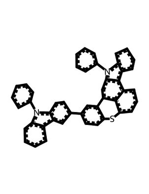 c1ccc(-n2c3ccccc3c3cc(-c4ccc5c(c4)-c4cc6c(c7cccc(c47)S5)c4ccccc4n6-c4ccccc4)ccc32)cc1